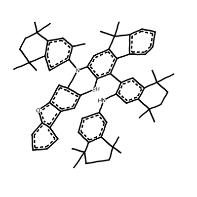 Cc1cc2c(cc1N1c3cc4oc5ccccc5c4cc3Bc3c1cc1c(c3-c3cc4c(cc3Nc3ccc5c(c3)C(C)(C)CCC5(C)C)C(C)(C)CCC4(C)C)-c3ccccc3C1(C)C)C(C)(C)CCC2(C)C